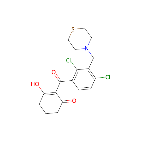 O=C1CCCC(O)=C1C(=O)c1ccc(Cl)c(CN2CCSCC2)c1Cl